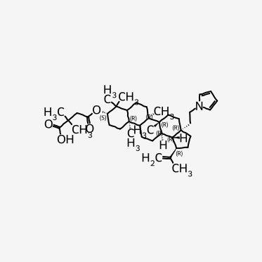 C=C(C)[C@@H]1CC[C@]2(CCn3cccc3)CC[C@]3(C)[C@H](CCC4[C@@]5(C)CC[C@H](OC(=O)CC(C)(C)C(=O)O)C(C)(C)C5CC[C@]43C)[C@@H]12